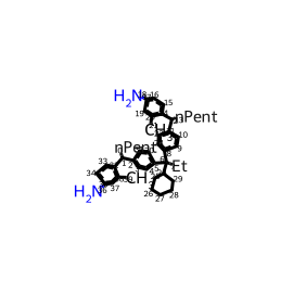 CCCCCC(c1ccc(C(CC)(c2ccc(C(CCCCC)c3ccc(N)cc3C)cc2)C2CCCCC2)cc1)c1ccc(N)cc1C